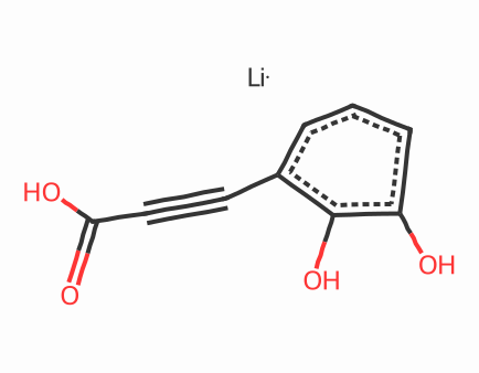 O=C(O)C#Cc1cccc(O)c1O.[Li]